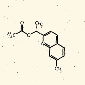 CC(=O)O[C@H](C)c1ccc2ccc(C)cc2n1